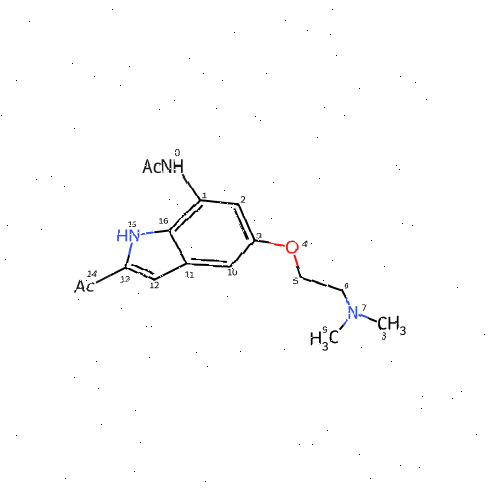 CC(=O)Nc1cc(OCCN(C)C)cc2cc(C(C)=O)[nH]c12